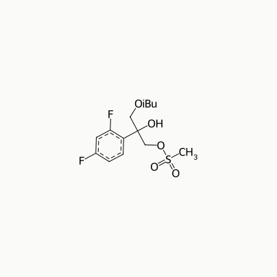 CC(C)COCC(O)(COS(C)(=O)=O)c1ccc(F)cc1F